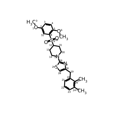 COc1ccc(OC)c(S(=O)(=O)C2CCN(c3nc(Cc4cccc(C)c4C)cs3)CC2)c1